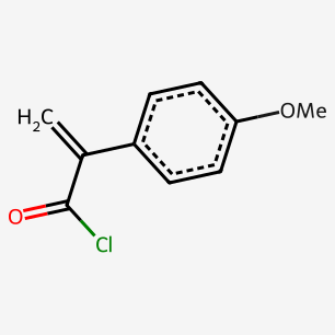 C=C(C(=O)Cl)c1ccc(OC)cc1